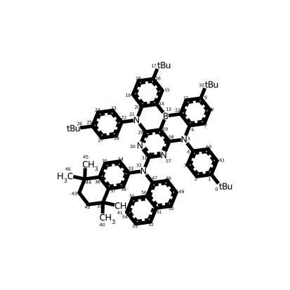 CC(C)(C)c1ccc(N2c3ccc(C(C)(C)C)cc3B3c4cc(C(C)(C)C)ccc4N(c4ccc(C(C)(C)C)cc4)c4nc(N(c5ccc6c(c5)C(C)(C)CCC6(C)C)c5cccc6ccccc56)nc2c43)cc1